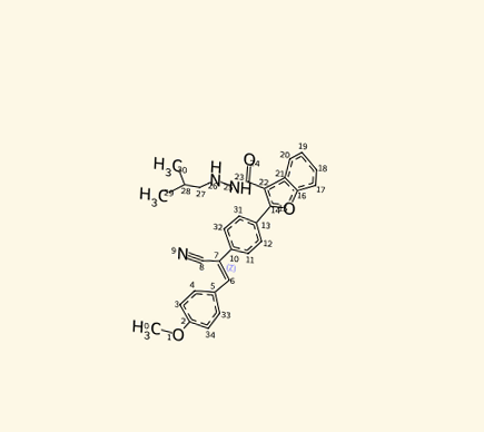 COc1ccc(/C=C(\C#N)c2ccc(-c3oc4ccccc4c3C(=O)NNCC(C)C)cc2)cc1